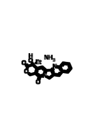 CC[C@@]1(O)C(=O)OCc2c1cc1n(c2=O)Cc2cc3ccccc3nc2-1.N